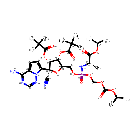 CC(C)OC(=O)OCO[P@@](=O)(N[C@@H](C)C(=O)OC(C)C)OC[C@H]1O[C@@](C#N)(c2ccc3c(N)ncnn23)[C@H](OC(=O)C(C)(C)C)[C@@H]1OC(=O)C(C)(C)C